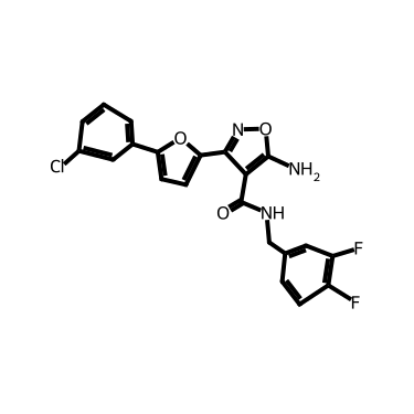 Nc1onc(-c2ccc(-c3cccc(Cl)c3)o2)c1C(=O)NCc1ccc(F)c(F)c1